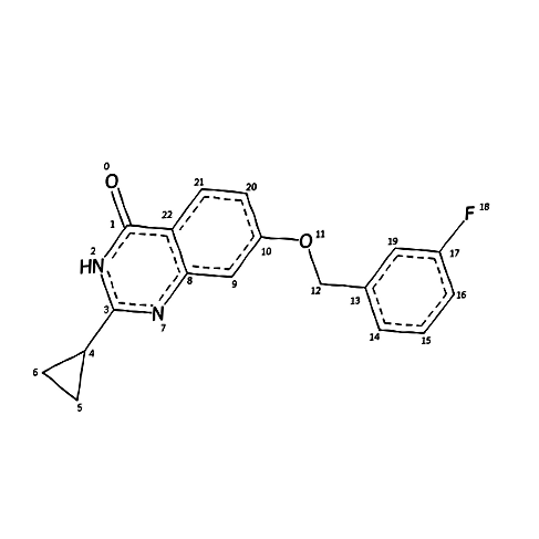 O=c1[nH]c(C2CC2)nc2cc(OCc3cccc(F)c3)ccc12